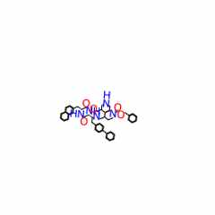 O=C1N[C@@H](C(Cc2ccc(-c3ccccc3)cc2)N(CC2CCN(C(=O)OCc3ccccc3)CC2)C(=O)C2CCCNC2)C(=O)N[C@H]1Cc1ccc2ccccc2c1